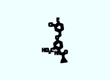 O=C(O)c1cc(OCc2ccc(F)c(Cl)c2)ccc1NC(=O)C1CC1